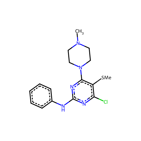 CSc1c(Cl)nc(Nc2ccccc2)nc1N1CCN(C)CC1